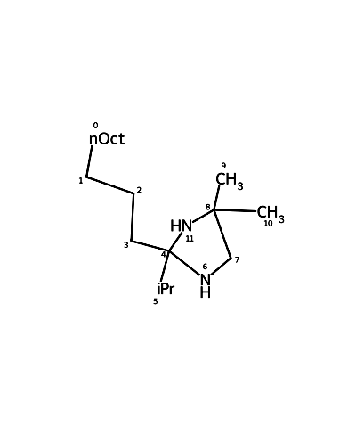 CCCCCCCCCCCC1(C(C)C)NCC(C)(C)N1